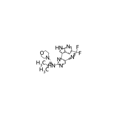 CC(C)[C@H](CN1CCOCC1)Nc1ncc(C#N)c(-c2c[nH]c3ncc(C(F)(F)F)cc23)n1